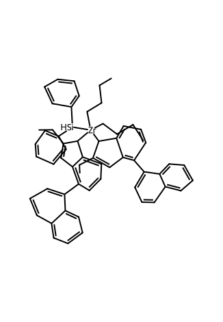 CCC[CH2][Zr]([CH2]CCC)([CH]1C(CC)=Cc2c(-c3cccc4ccccc34)cccc21)([CH]1C(CC)=Cc2c(-c3cccc4ccccc34)cccc21)[SiH](c1ccccc1)c1ccccc1